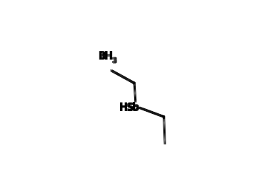 B.C[CH2][SbH][CH2]C